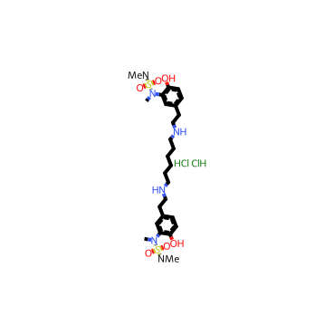 CNS(=O)(=O)N(C)c1cc(CCNCCCCCCNCCc2ccc(O)c(N(C)S(=O)(=O)NC)c2)ccc1O.Cl.Cl